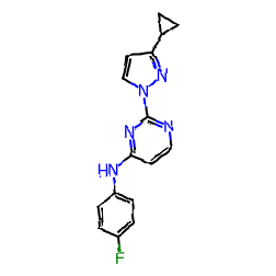 Fc1ccc(Nc2ccnc(-n3ccc(C4CC4)n3)n2)cc1